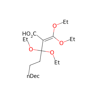 CCCCCCCCCCCCC(OCC)(OCC)C(C(=O)O)=C(OCC)OCC